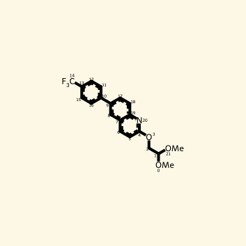 COC(COc1ccc2cc(-c3ccc(C(F)(F)F)cc3)ccc2n1)OC